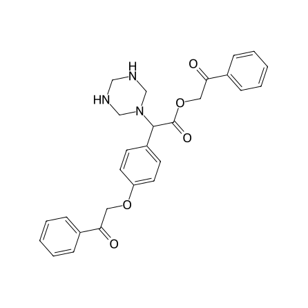 O=C(COC(=O)C(c1ccc(OCC(=O)c2ccccc2)cc1)N1CNCNC1)c1ccccc1